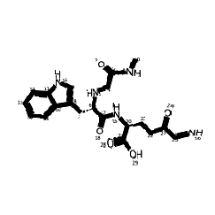 CNC(=O)CN[C@@H](Cc1c[nH]c2ccccc12)C(=O)N[C@@H](CCC(=O)C=N)C(=O)O